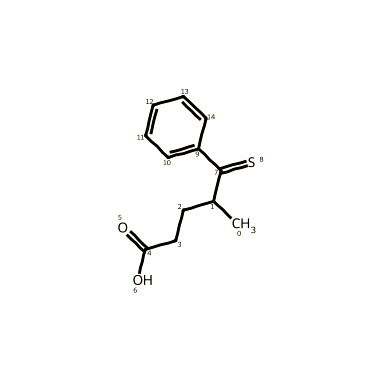 CC(CCC(=O)O)C(=S)c1ccccc1